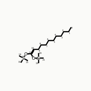 CCCCCCCCCCC=C(O[Si](C)(C)C)O[Si](C)(C)C